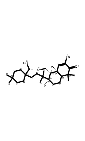 CC(=O)C[C@@H]1[C@@]2(C)C=C(C#N)C(=O)C(C)(C)C2CC[C@@]1(C)C(C)(C)CCC1(CO)CCC(C)(C)CC1